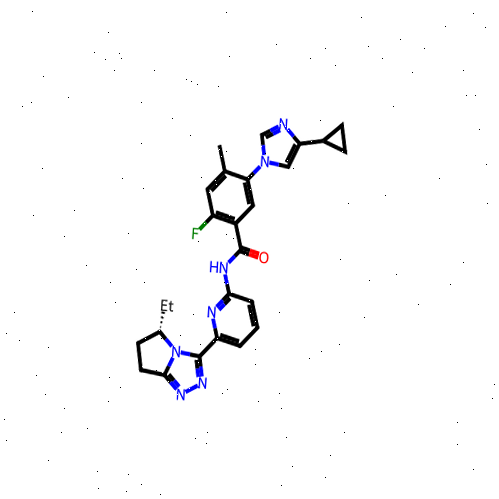 CC[C@H]1CCc2nnc(-c3cccc(NC(=O)c4cc(-n5cnc(C6CC6)c5)c(C)cc4F)n3)n21